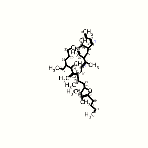 C=C/C=C\C1CC(/C(C)=C/C[C@@H](C(=C)C(C)C(CC)CCCC)[C@@H](C)CC2OC(CCCC)=C(C)[C@@H]2C)C=N[C@H]1C